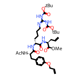 C=CCOc1ccc(C[C@H](NC(C)=O)C(=O)N[C@H](CCCCN=C(NC(=O)OC(C)(C)C)NC(=O)OC(C)(C)C)C(=O)N[C@@H](CC=C)C(=O)OC)cc1